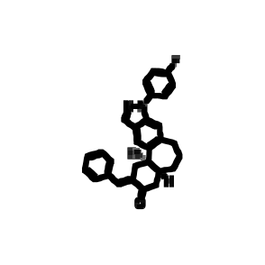 CC[C@@]12CC(=Cc3ccccc3)C(=O)C[C@H]1CCCc1cc3c(cnn3-c3ccc(F)cc3)cc12